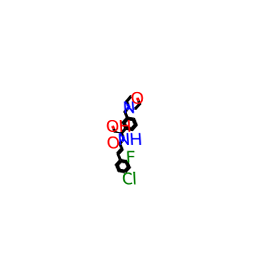 O=C(/C=C/c1ccc(Cl)cc1F)N[C@@H](CO)c1cccc(CN2CCOCC2)c1